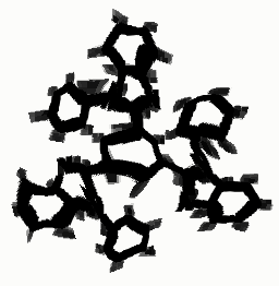 C1=C(c2nc3ccccc3n2-c2ccccc2)C=C(c2nc3ccccc3n2-c2ccccc2)CC1c1nc2ccccc2n1-c1ccccc1